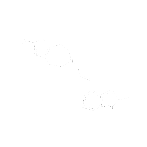 Cc1nc2cccc(C=CCN3CCc4nc(N)sc4CC3)c2s1